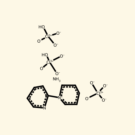 N.[O-][Cl+3]([O-])([O-])O.[O-][Cl+3]([O-])([O-])O.[O-][Cl+3]([O-])([O-])[O-].c1cc[n+](-c2ccccn2)cc1